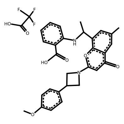 COc1ccc(C2CN(c3cc(=O)c4cc(C)cc(C(C)Nc5ccccc5C(=O)O)c4o3)C2)cc1.O=C(O)C(F)(F)F